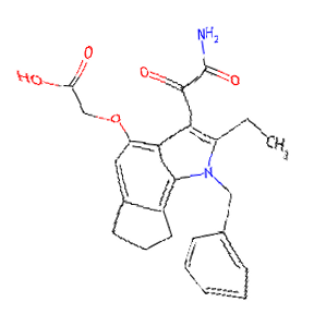 CCc1c(C(=O)C(N)=O)c2c(OCC(=O)O)cc3c(c2n1Cc1ccccc1)CCC3